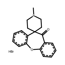 Br.CN1CCC2(CC1)C(=O)c1ccccc1Oc1ccccc12